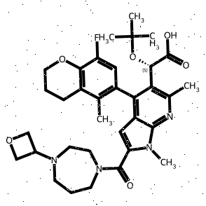 Cc1nc2c(cc(C(=O)N3CCCN(C4COC4)CC3)n2C)c(-c2cc(F)c3c(c2C)CCCO3)c1[C@H](OC(C)(C)C)C(=O)O